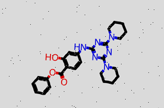 O=C(Oc1ccccc1)c1ccc(Nc2nc(N3CCCCC3)nc(N3CCCCC3)n2)cc1O